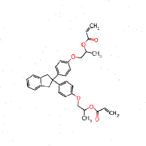 C=CC(=O)OC(C)COc1ccc(C2(c3ccc(OCC(C)OC(=O)C=C)cc3)Cc3ccccc3C2)cc1